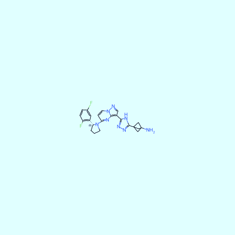 NC12CC(c3nnc(-c4cnn5ccc(N6CCC[C@@H]6c6cc(F)ccc6F)nc45)[nH]3)(C1)C2